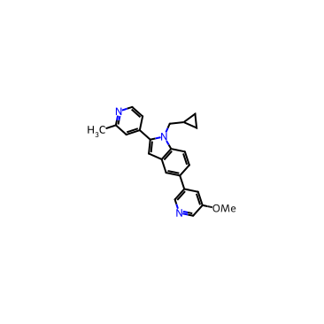 COc1cncc(-c2ccc3c(c2)cc(-c2ccnc(C)c2)n3CC2CC2)c1